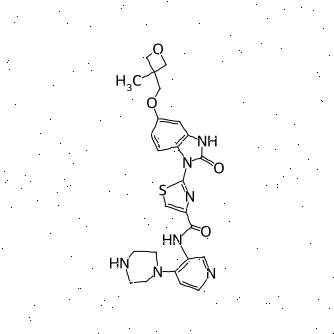 CC1(COc2ccc3c(c2)[nH]c(=O)n3-c2nc(C(=O)Nc3cnccc3N3CCNCC3)cs2)COC1